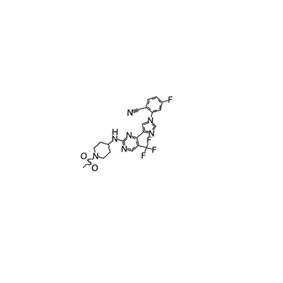 CS(=O)(=O)N1CCC(Nc2ncc(C(F)(F)F)c(-c3cn(-c4cc(F)ccc4C#N)cn3)n2)CC1